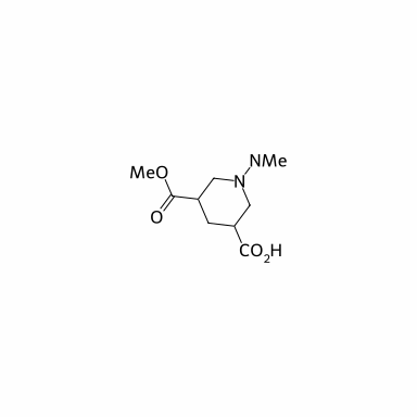 CNN1CC(C(=O)O)CC(C(=O)OC)C1